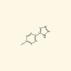 Ic1ccc(-c2cnn[nH]2)cc1